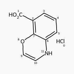 Cl.O=C(O)c1cccc2c1OC=CN2